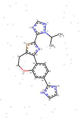 CC(C)n1ncnc1-c1nc2c(s1)CCOc1cc(-c3ncc[nH]3)ccc1-2